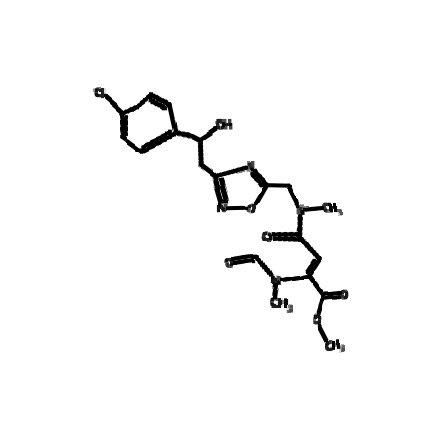 COC(=O)/C(=C/C(=O)N(C)Cc1nc(CC(O)c2ccc(Cl)cc2)no1)N(C)C=O